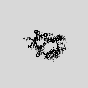 CCC(=O)N(C)c1cc(C/C(C)=C/C=C/[C@@H](OC)[C@@]2(O)C[C@@H]([C@@H](C)[C@@H]3O[C@@]3(C)[C@H](C)OC(=O)[C@H](C)N(C)C(=O)CCSSC[C@H](NC(=O)[C@@H]3CSSC[C@H](NC(=O)[C@H](N)Cc4ccccc4)C(=O)N[C@@H](Cc4ccc(O)cc4)C(=O)N[C@H](Cc4c[nH]c5ccccc45)C(=O)N[C@@H](CCCCN)C(=O)N[C@@H]([C@@H](C)O)C(=O)N3)C(=O)NC3CCCCC3)OC(=O)N2)cc(OC)c1Cl